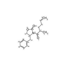 C=CCCC(C)C(=O)N1C(=O)OCC1Cc1ccccc1